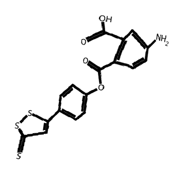 Nc1ccc(C(=O)Oc2ccc(-c3cc(=S)ss3)cc2)c(C(=O)O)c1